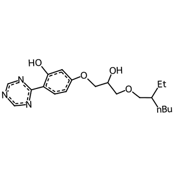 CCCCC(CC)COCC(O)COc1ccc(-c2ncncn2)c(O)c1